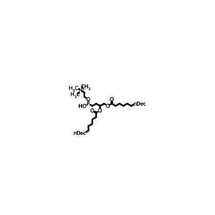 CCCCCCCCCCCCCCCC(=O)OCC(CC[P@](O)OCC[N+](C)(C)C)OC(=O)CCCCCCCCCCCCCCC